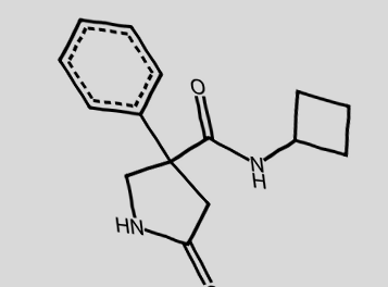 O=C1CC(C(=O)NC2CCC2)(c2ccccc2)CN1